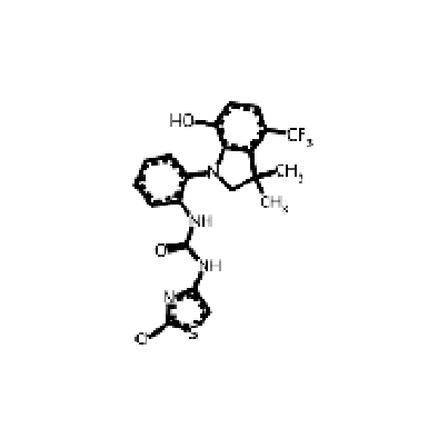 CC1(C)CN(c2ccccc2NC(=O)Nc2csc(Cl)n2)c2c(O)ccc(C(F)(F)F)c21